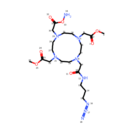 COC(=O)CN1CCN(CC(=O)NCCCN=[N+]=[N-])CCN(CC(=O)OC)CCN(CC(=O)ON)CC1